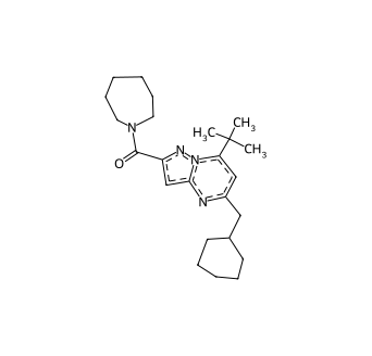 CC(C)(C)c1cc(CC2CCCCC2)nc2cc(C(=O)N3CCCCCC3)nn12